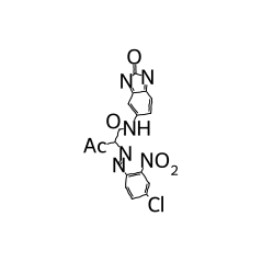 CC(=O)C(N=Nc1ccc(Cl)cc1[N+](=O)[O-])C(=O)Nc1ccc2c(c1)=NC(=O)N=2